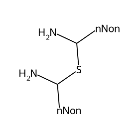 CCCCCCCCCC(N)SC(N)CCCCCCCCC